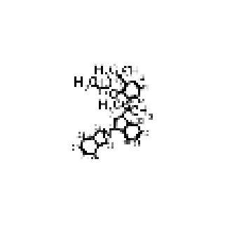 C=CCOc1c(C(C)(C)C)cccc1[Si](C)(C)C1C=C(N2CC3=CC=CCC3C2)c2ccccc21